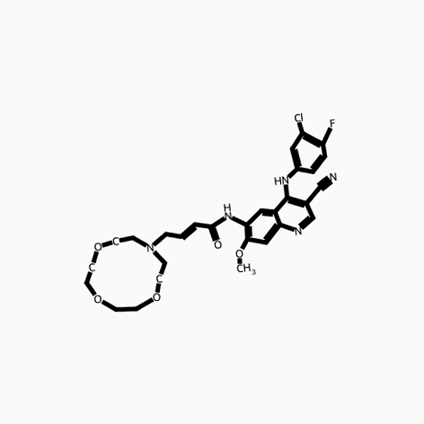 COc1cc2ncc(C#N)c(Nc3ccc(F)c(Cl)c3)c2cc1NC(=O)C=CCN1CCOCCOCCOCC1